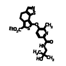 CCOC(=O)c1sc(Oc2ccc(C(=O)NCC(C)(C)O)nc2C)c2c1CCc1cnsc1-2